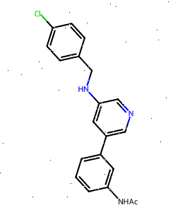 CC(=O)Nc1cccc(-c2cncc(NCc3ccc(Cl)cc3)c2)c1